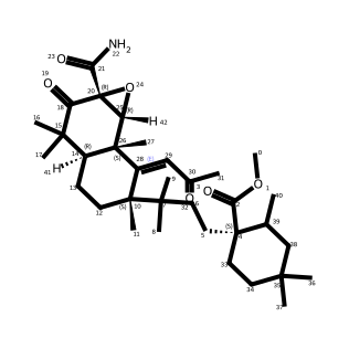 COC(=O)[C@]1(CCC(C)(C)[C@]2(C)CC[C@H]3C(C)(C)C(=O)[C@]4(C(N)=O)O[C@@H]4[C@]3(C)/C2=C/C(C)=O)CCC(C)(C)CC1C